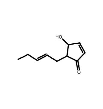 CC/C=C/CC1C(=O)C=CC1O